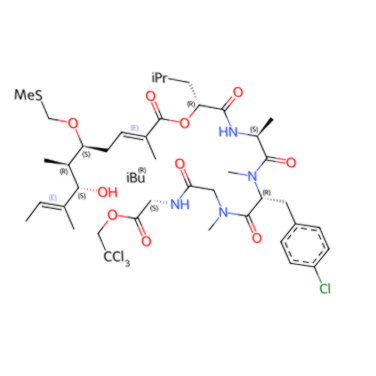 C/C=C(\C)[C@@H](O)[C@@H](C)[C@H](C/C=C(\C)C(=O)O[C@H](CC(C)C)C(=O)N[C@@H](C)C(=O)N(C)[C@H](Cc1ccc(Cl)cc1)C(=O)N(C)CC(=O)N[C@H](C(=O)OCC(Cl)(Cl)Cl)[C@H](C)CC)OCSC